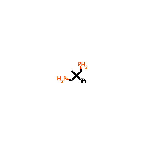 CC(C)C(C)(CP)CP